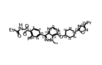 CCC(=O)NS(=O)(=O)c1ccc(-c2nn(C)c3c(OC4CCN(c5nc(C(C)C)no5)CC4)ncnc23)cc1F